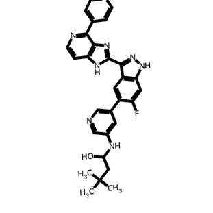 CC(C)(C)CC(O)Nc1cncc(-c2cc3c(-c4nc5c(-c6ccncc6)nccc5[nH]4)n[nH]c3cc2F)c1